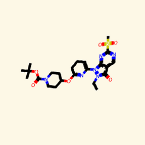 CCn1c(=O)c2cnc(S(C)(=O)=O)nc2n1C1=CCCC(OC2CCN(C(=O)OC(C)(C)C)CC2)=N1